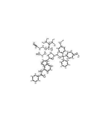 COc1ccc(C(OC[C@H]2O[C@@H](n3cnc4c(NC(=O)c5ccccc5)ncnc43)[C@H](OCO)[C@@H]2OP(OCCC#N)N(C(C)C)C(C)C)(c2ccccc2)c2ccc(OC)cc2)cc1